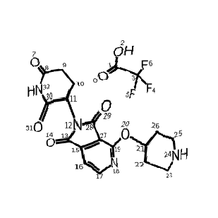 O=C(O)C(F)(F)F.O=C1CCC(N2C(=O)c3ccnc(OC4CCNCC4)c3C2=O)C(=O)N1